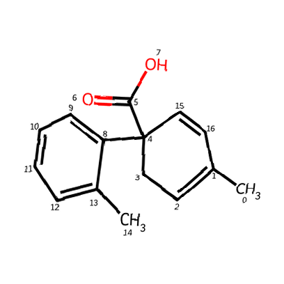 CC1=CCC(C(=O)O)(c2ccccc2C)C=C1